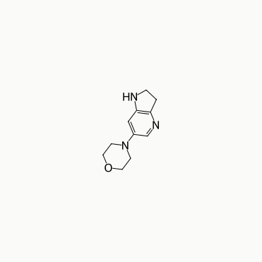 c1nc2c(cc1N1CCOCC1)NCC2